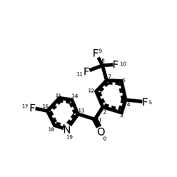 O=C(c1cc(F)cc(C(F)(F)F)c1)c1ccc(F)cn1